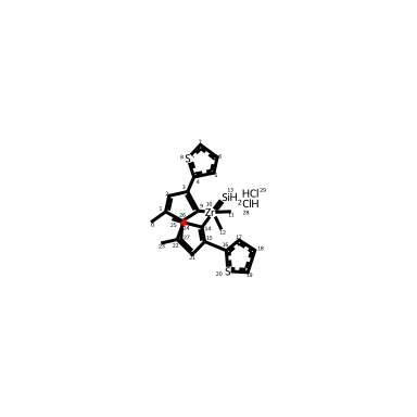 CC1=CC(c2cccs2)=[C]([Zr]([CH3])([CH3])(=[SiH2])[C]2=C(c3cccs3)C=C(C)C2C)C1C.Cl.Cl